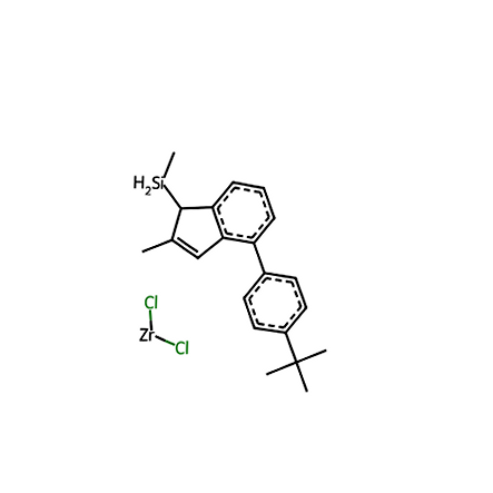 C[SiH2]C1C(C)=Cc2c(-c3ccc(C(C)(C)C)cc3)cccc21.[Cl][Zr][Cl]